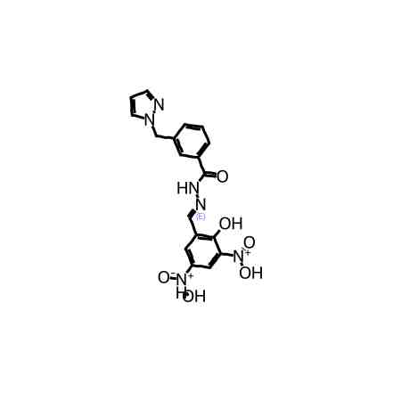 O=C(N/N=C/c1cc([NH+]([O-])O)cc([N+](=O)O)c1O)c1cccc(Cn2cccn2)c1